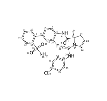 CC1(C(=O)Nc2ccc(-c3ccccc3S(N)(=O)=O)cc2F)CC=NN1C(=O)Nc1ccc(Cl)cc1